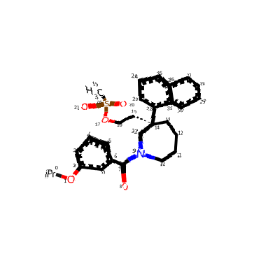 CC(C)Oc1cccc(C(=O)N2CCCC[C@](CCOS(C)(=O)=O)(c3cccc4ccccc34)C2)c1